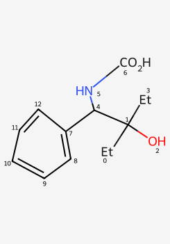 CCC(O)(CC)C(NC(=O)O)c1ccccc1